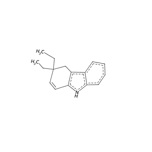 CCC1(CC)C=Cc2[nH]c3ccccc3c2C1